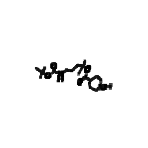 CC(C)(C)OC(=O)NCCCC(C)(C)OC(=O)C1CCNCC1